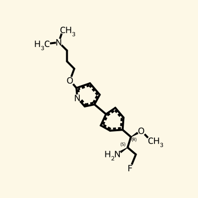 CO[C@H](c1ccc(-c2ccc(OCCCN(C)C)nc2)cc1)[C@H](N)CF